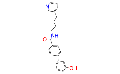 O=C(NCCCCc1cccnc1)c1ccc(-c2cccc(O)c2)cc1